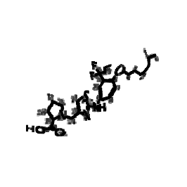 CCCCCOc1ccc(Nc2nc(CN3CCCC3C(=O)O)cs2)cc1C(F)(F)F